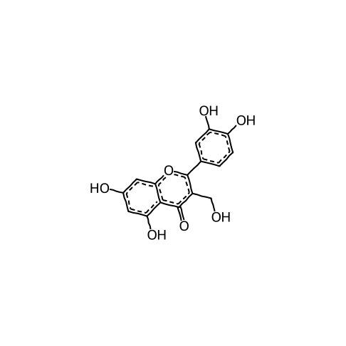 O=c1c(CO)c(-c2ccc(O)c(O)c2)oc2cc(O)cc(O)c12